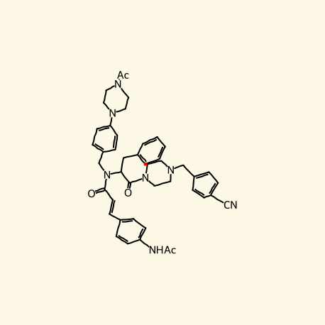 CC(=O)Nc1ccc(C=CC(=O)N(Cc2ccc(N3CCN(C(C)=O)CC3)cc2)C(Cc2ccccc2)C(=O)N2CCN(Cc3ccc(C#N)cc3)CC2)cc1